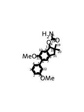 COc1cccc(-c2cc3c(cc2OC)C(OC(N)=O)C(C)(C)C3)c1